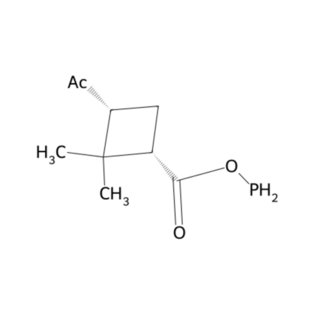 CC(=O)[C@@H]1C[C@H](C(=O)OP)C1(C)C